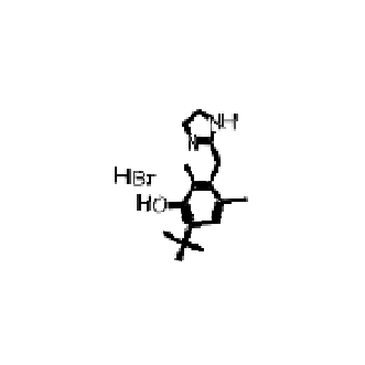 Br.Cc1cc(C(C)(C)C)c(O)c(C)c1CC1=NCCN1